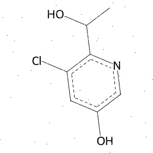 CC(O)c1ncc(O)cc1Cl